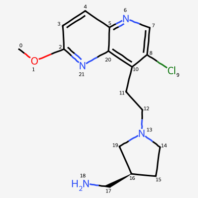 COc1ccc2ncc(Cl)c(CCN3CC[C@@H](CN)C3)c2n1